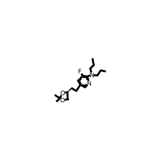 CCCN(CCC)c1ncc(CC[C@H]2COC(C)(C)O2)cc1F